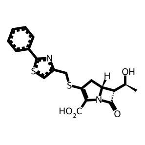 C[C@H](O)[C@@H]1C(=O)N2C(C(=O)O)=C(SCc3csc(-c4ccccc4)n3)C[C@H]12